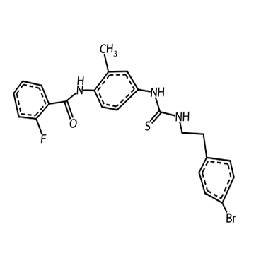 Cc1cc(NC(=S)NCCc2ccc(Br)cc2)ccc1NC(=O)c1ccccc1F